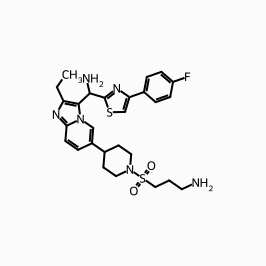 CCc1nc2ccc(C3CCN(S(=O)(=O)CCCN)CC3)cn2c1C(N)c1nc(-c2ccc(F)cc2)cs1